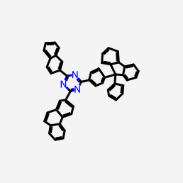 c1ccc(C2(c3ccc(-c4nc(-c5ccc6ccccc6c5)nc(-c5ccc6c(ccc7ccccc76)c5)n4)cc3)c3ccccc3-c3ccccc32)cc1